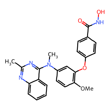 COc1ccc(N(C)c2nc(C)nc3ccccc23)cc1Oc1ccc(C(=O)NO)cc1